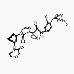 N=C(N)c1ccc(NC(=O)[C@H](O)[C@H]2OCCN(c3cccc(N4CCOCC4=O)c3)C2=O)cc1F